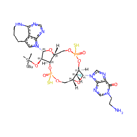 CC(C)(C)[Si](C)(C)O[C@@H]1[C@@H]2OP(=O)(S)OC[C@H]3O[C@@H](n4cnc5c(=O)n(CCN)cnc54)[C@H](OP(=O)(S)OC[C@H]2O[C@H]1n1cc2c4c(ncnc41)NCCC2)[C@@H]3F